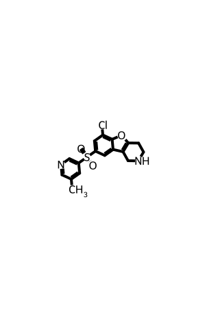 Cc1cncc(S(=O)(=O)c2cc(Cl)c3oc4c(c3c2)CNCC4)c1